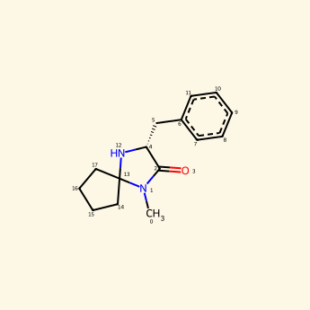 CN1C(=O)[C@@H](Cc2ccccc2)NC12CCCC2